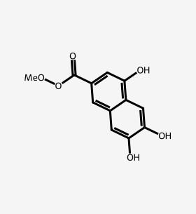 COOC(=O)c1cc(O)c2cc(O)c(O)cc2c1